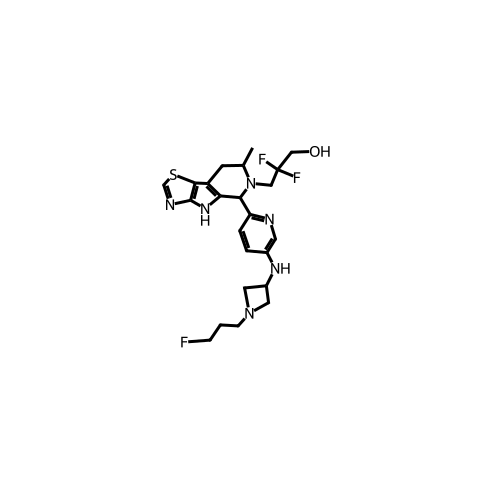 CC1Cc2c([nH]c3ncsc23)C(c2ccc(NC3CN(CCCF)C3)cn2)N1CC(F)(F)CO